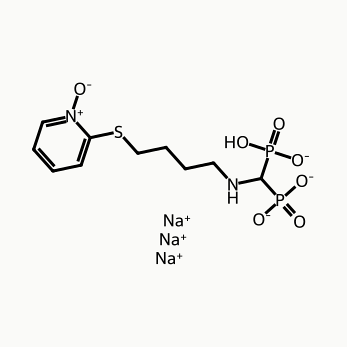 O=P([O-])([O-])C(NCCCCSc1cccc[n+]1[O-])P(=O)([O-])O.[Na+].[Na+].[Na+]